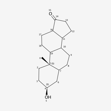 C[C@]12CC[C@H](O)CC1CCC1C3CCC(=O)C3CCC12